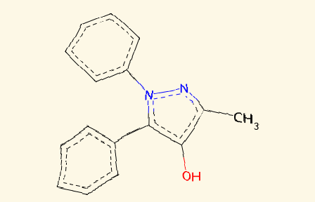 Cc1nn(-c2ccccc2)c(-c2ccccc2)c1O